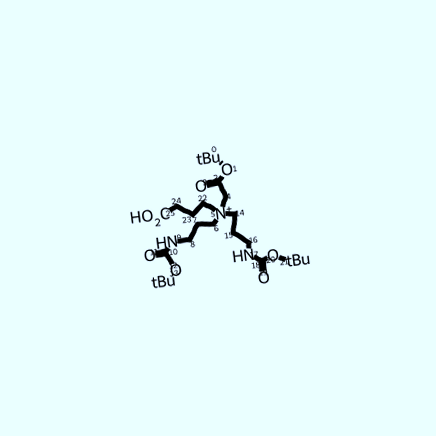 CC(C)(C)OC(=O)C[N+](CCCNC(=O)OC(C)(C)C)(CCCNC(=O)OC(C)(C)C)CCCC(=O)O